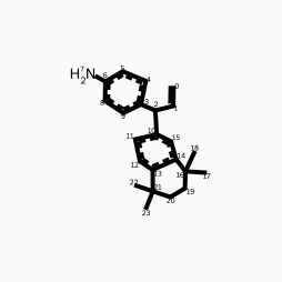 C=CC(c1ccc(N)cc1)c1ccc2c(c1)C(C)(C)CCC2(C)C